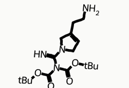 CC(C)(C)OC(=O)N(C(=N)N1CC=C(CCN)C1)C(=O)OC(C)(C)C